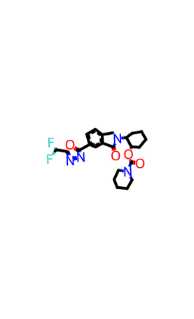 O=C(OC1CCCCC1N1Cc2ccc(-c3nnc(C(F)F)o3)cc2C1=O)N1CCCCC1